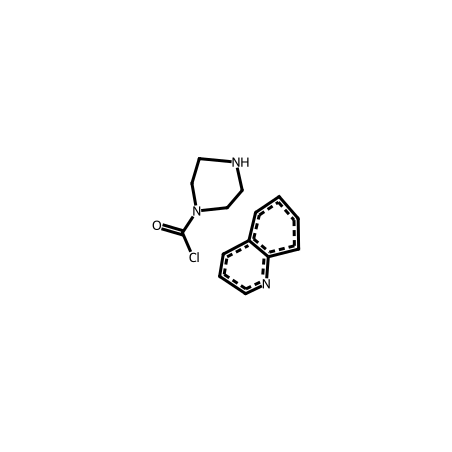 O=C(Cl)N1CCNCC1.c1ccc2ncccc2c1